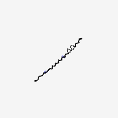 CCCC/C=C/CCCCCCCC/C=C/CCOCOCCCCC